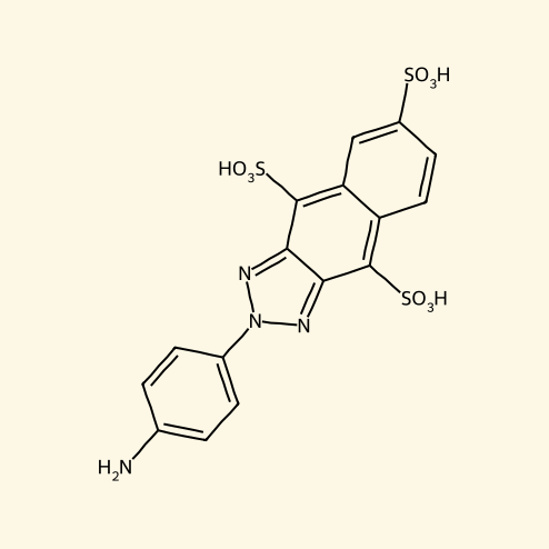 Nc1ccc(-n2nc3c(S(=O)(=O)O)c4ccc(S(=O)(=O)O)cc4c(S(=O)(=O)O)c3n2)cc1